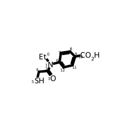 CCN(C(=O)CS)c1ccc(C(=O)O)cc1